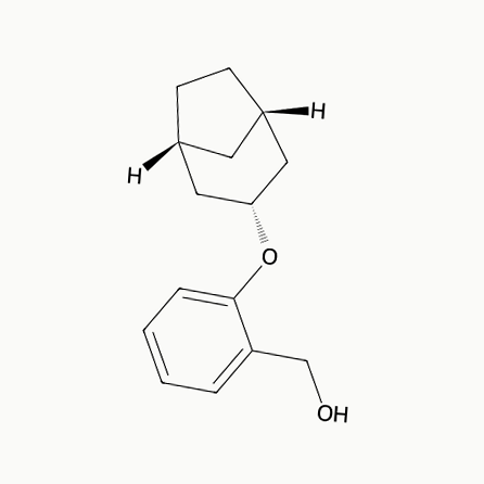 OCc1ccccc1O[C@@H]1C[C@@H]2CC[C@@H](C2)C1